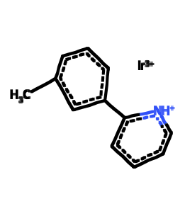 Cc1cccc(-c2cccc[nH+]2)c1.[Ir+3]